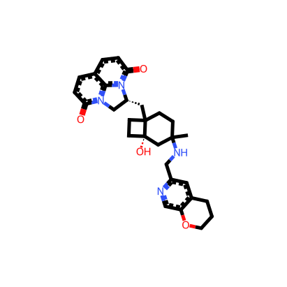 CC1(NCc2cc3c(cn2)OCCC3)CCC2(C[C@@H]3Cn4c(=O)ccc5ccc(=O)n3c54)CC[C@]2(O)C1